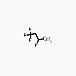 CC(F)CC(F)(F)F